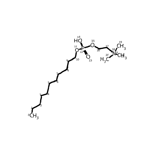 CCCCCCCCCCCOP(=O)(O)OCC[N+](C)(C)C